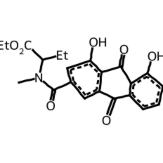 CCOC(=O)C(CC)N(C)C(=O)c1cc(O)c2c(c1)C(=O)c1cccc(O)c1C2=O